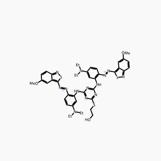 CCN(CC)c1ccc(/N=N/c2snc3ccc(OC)cc23)c(Nc2nc(Nc3cc(N(CC)CC)ccc3/N=N/c3snc4ccc(OC)cc34)nc(SCCO)n2)c1